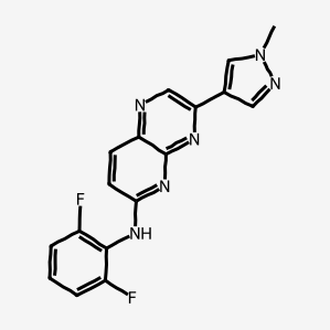 Cn1cc(-c2cnc3ccc(Nc4c(F)cccc4F)nc3n2)cn1